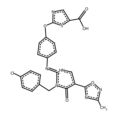 Cc1noc(-c2c[nH]/c(=N\c3ccc(Oc4ncc(C(=O)O)s4)cc3)n(Cc3ccc(Cl)cc3)c2=O)n1